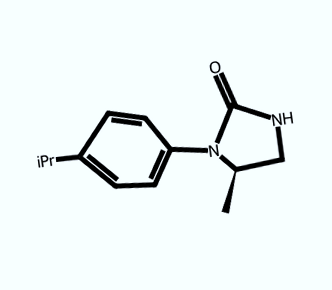 CC(C)c1ccc(N2C(=O)NC[C@H]2C)cc1